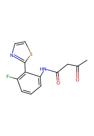 CC(=O)CC(=O)Nc1cccc(F)c1-c1nccs1